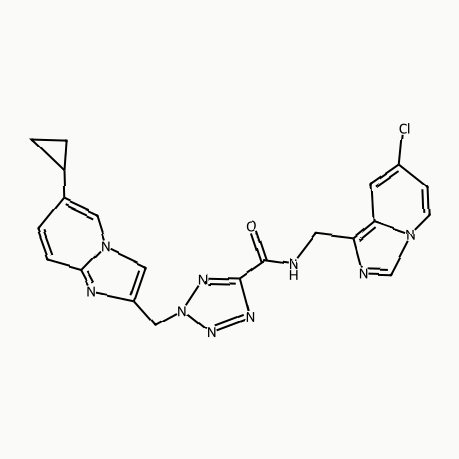 O=C(NCc1ncn2ccc(Cl)cc12)c1nnn(Cc2cn3cc(C4CC4)ccc3n2)n1